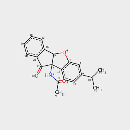 CC(=O)NC12[C](Oc3cc(C(C)C)ccc31)c1ccccc1C2=O